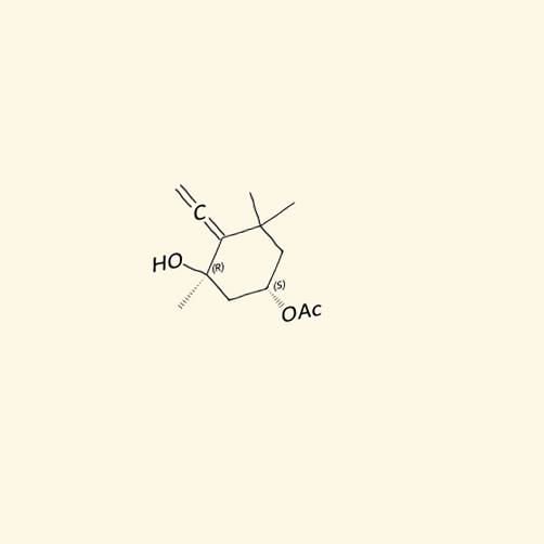 C=C=C1C(C)(C)C[C@H](OC(C)=O)C[C@@]1(C)O